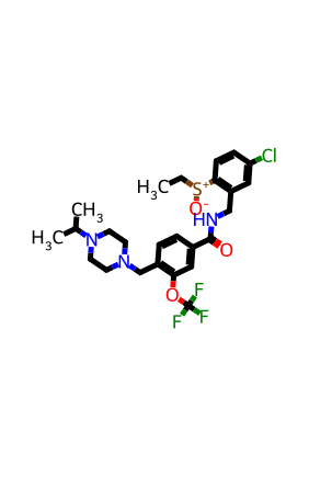 CC[S+]([O-])c1ccc(Cl)cc1CNC(=O)c1ccc(CN2CCN(C(C)C)CC2)c(OC(F)(F)F)c1